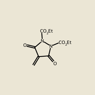 C=C1C(=O)N(C(=O)OCC)N(C(=O)OCC)C1=O